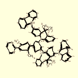 Cc1cc(-c2ncccn2)c(C)cc1-c1cc(N2c3ccccc3C(C)(C)c3cc(-n4c5ccccc5c5ccccc54)ccc32)cc(N2c3ccccc3C(C)(C)c3cc(-n4c5ccccc5c5ccccc54)ccc32)c1